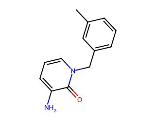 Cc1cccc(Cn2cccc(N)c2=O)c1